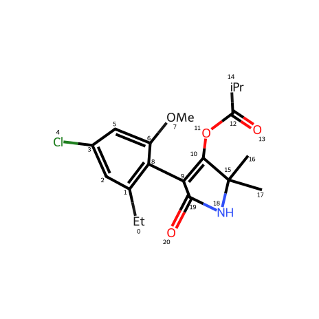 CCc1cc(Cl)cc(OC)c1C1=C(OC(=O)C(C)C)C(C)(C)NC1=O